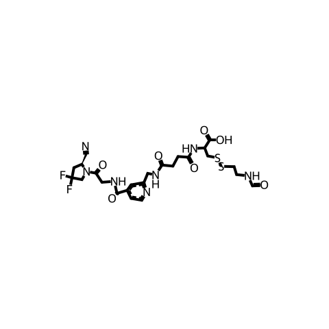 N#C[C@@H]1CC(F)(F)CN1C(=O)CNC(=O)c1ccnc(CNC(=O)CCC(=O)NC(CSSCCNC=O)C(=O)O)c1